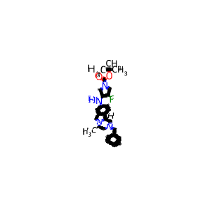 C[C@@H]1CN(Cc2ccccc2)C[C@@H]2c3ccc(N[C@H]4CN(C(=O)OC(C)(C)C)C[C@H]4F)cc3CN12